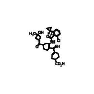 CC1(O)CN(C(=O)C2CCC(C(=N)C3=CCC(C(=O)O)CC3)=C(NC(=O)c3c(Cl)cccc3C3(C(F)(F)F)CC3)C2)C1